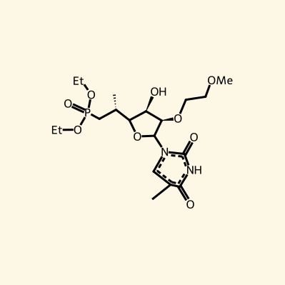 CCOP(=O)(C[C@H](C)C1OC(n2cc(C)c(=O)[nH]c2=O)[C@H](OCCOC)[C@@H]1O)OCC